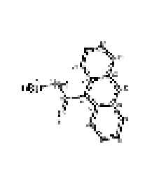 CCCCNC(=O)c1c2ccccc2cc2ccccc12